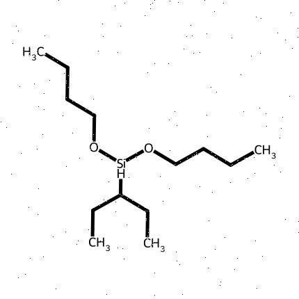 CCCCO[SiH](OCCCC)C(CC)CC